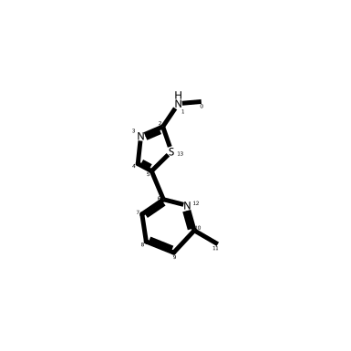 CNc1ncc(-c2cccc(C)n2)s1